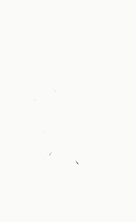 Cc1nc(N(C(=O)OC(C)(C)C)C(=O)OC(C)(C)C)nc2c1c(I)cn2[C@@H]1O[C@H](C(OC(=O)c2ccccc2)c2ccc(Cl)c(F)c2)[C@@H](O)[C@H]1O